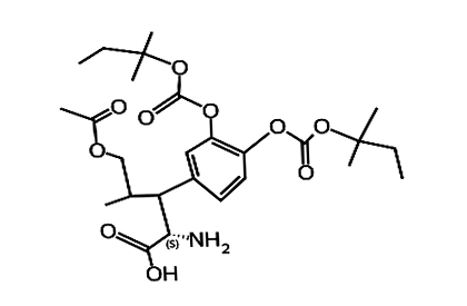 CCC(C)(C)OC(=O)Oc1ccc(C(C(C)COC(C)=O)[C@H](N)C(=O)O)cc1OC(=O)OC(C)(C)CC